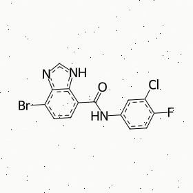 O=C(Nc1ccc(F)c(Cl)c1)c1ccc(Br)c2nc[nH]c12